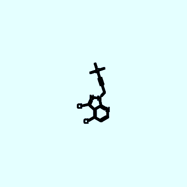 C[Si](C)(C)C#CCn1nc(Cl)c2c(Cl)ccnc21